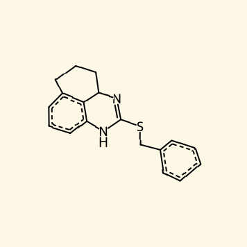 c1ccc(CSC2=NC3CCCc4cccc(c43)N2)cc1